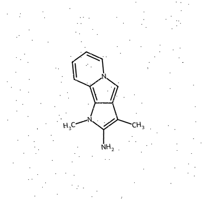 Cc1c(N)n(C)c2c1cn1ccccc21